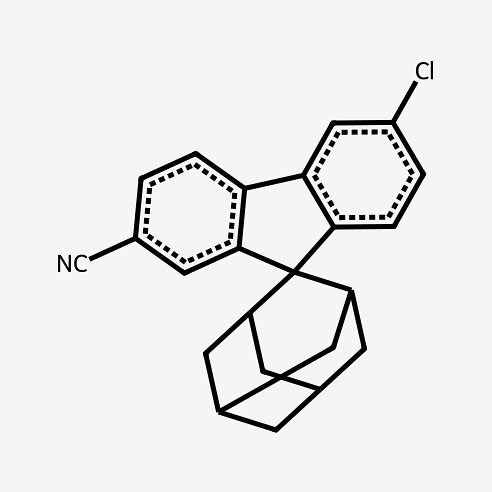 N#Cc1ccc2c(c1)C1(c3ccc(Cl)cc3-2)C2CC3CC(C2)CC1C3